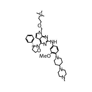 COc1cc(Nc2nc(N3OCC[C@@H]3c3ccccc3)c3ccn(COCC[Si](C)(C)C)c3n2)ccc1N1CCC(N2CCN(C)CC2)CC1